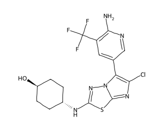 Nc1ncc(-c2c(Cl)nc3sc(N[C@H]4CC[C@H](O)CC4)nn23)cc1C(F)(F)F